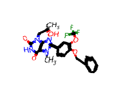 CC(O)Cn1c(=O)[nH]c(=O)c2c1nc(-c1ccc(OCc3ccccc3)c(OC(F)(F)F)c1)n2C